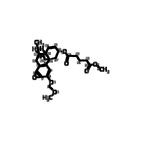 COCOc1cc2c(c3c1O3)C[C@@H]1[C@@H]3C=C[C@H](OC(=O)CCCC(=O)OC)C[C@]23CCN1C